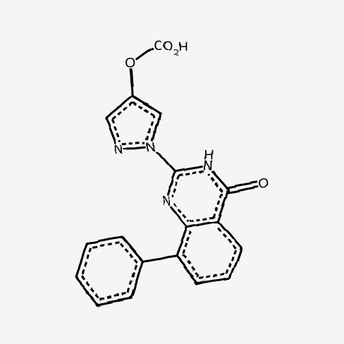 O=C(O)Oc1cnn(-c2nc3c(-c4ccccc4)cccc3c(=O)[nH]2)c1